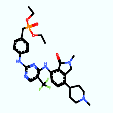 CCOP(=O)(Cc1ccc(Nc2ncc(C(F)(F)F)c(Nc3ccc(C4CCN(C)CC4)c4c3C(=O)N(C)C4)n2)cc1)OCC